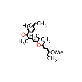 C=C/C(=C\C=C(/C=C)O/C(C=C)=C/C=C(\C)C(=O)C(/C=C\C(C)=C/C)=C/C)OC